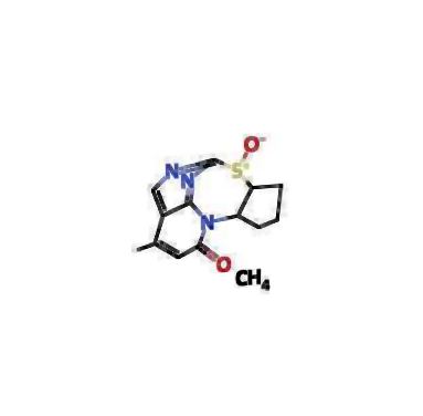 C.Cc1cc(=O)n2c3nc(ncc13)[S+]([O-])C1CCCC12